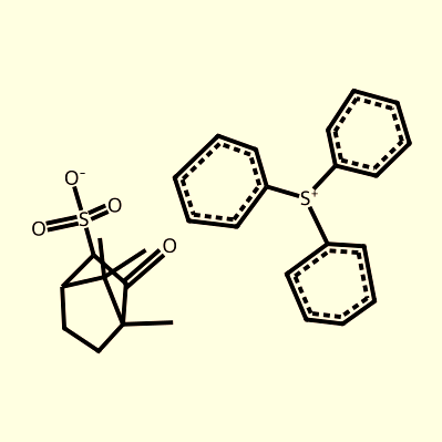 CC12CCC(C(S(=O)(=O)[O-])C1=O)C2(C)C.c1ccc([S+](c2ccccc2)c2ccccc2)cc1